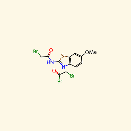 COc1ccc2nc(NC(=O)CBr)sc2c1.O=C(Br)CBr